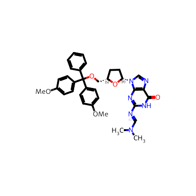 COc1ccc(C(OC[C@@H]2CC[C@H](n3cnc4c(=O)[nH]c(/N=C/N(C)C)nc43)O2)(c2ccccc2)c2ccc(OC)cc2)cc1